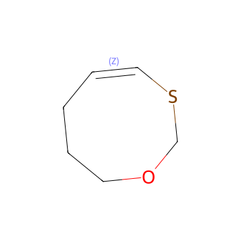 C1=C\SCOCCC/1